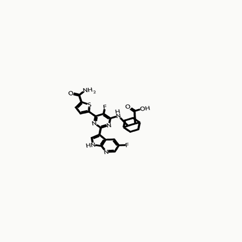 NC(=O)c1ccc(-c2nc(-c3c[nH]c4ncc(F)cc34)nc(NC3C4CCC(CC4)C3C(=O)O)c2F)s1